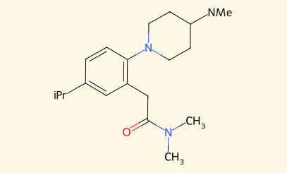 CNC1CCN(c2ccc(C(C)C)cc2CC(=O)N(C)C)CC1